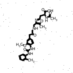 COc1cc(CC(=O)CNCc2nc(CC(NC(C)=O)C(=O)O)oc2C)ccc1NC(=O)Nc1ccccc1C